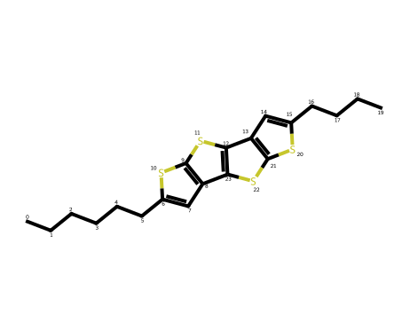 CCCCCCc1cc2c(s1)sc1c3cc(CCCC)sc3sc21